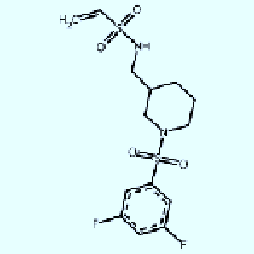 C=CS(=O)(=O)NCC1CCCN(S(=O)(=O)c2cc(F)cc(F)c2)C1